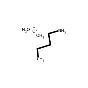 CCCCN.O.O.O